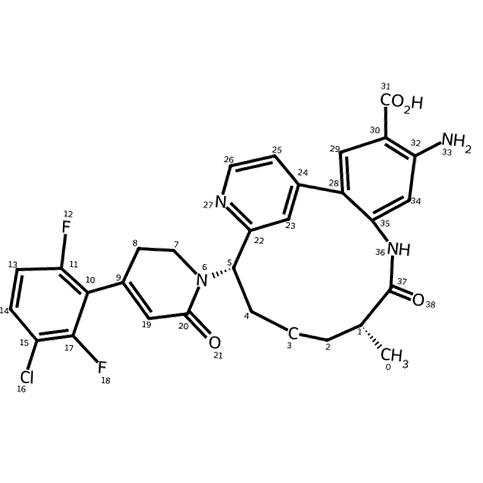 C[C@@H]1CCC[C@H](N2CCC(c3c(F)ccc(Cl)c3F)=CC2=O)c2cc(ccn2)-c2cc(C(=O)O)c(N)cc2NC1=O